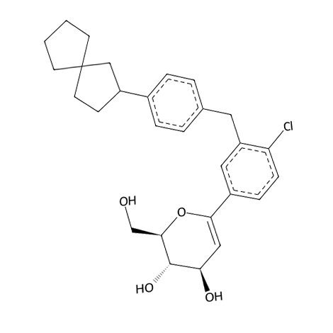 OC[C@H]1OC(c2ccc(Cl)c(Cc3ccc(C4CCC5(CCCC5)C4)cc3)c2)=C[C@@H](O)[C@@H]1O